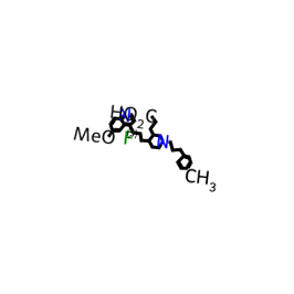 COc1ccc2nccc([C@@H](F)CCC3CCN(CCCc4ccc(C)cc4)CC3CCC(=O)O)c2c1